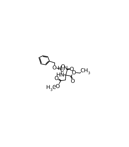 CCOC(=O)C(CC(=O)OC)(NC(=O)OCc1ccccc1)C(N)=O